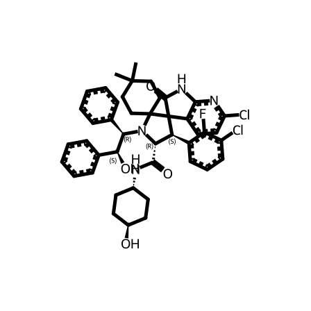 CC1(C)CCC2(CC1)N([C@H](c1ccccc1)[C@@H](O)c1ccccc1)[C@@H](C(=O)N[C@H]1CC[C@H](O)CC1)[C@H](c1cccc(Cl)c1F)C21C(=O)Nc2nc(Cl)ccc21